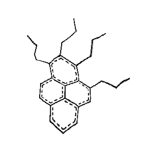 CCCc1c(CCC)c2ccc3cccc4cc(CCC)c(c1CCC)c2c34